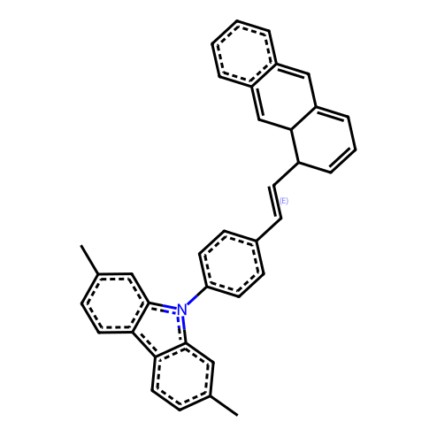 Cc1ccc2c3ccc(C)cc3n(-c3ccc(/C=C/C4C=CC=C5C=c6ccccc6=CC54)cc3)c2c1